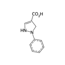 O=C(O)C1=CNN(c2ccccc2)C1